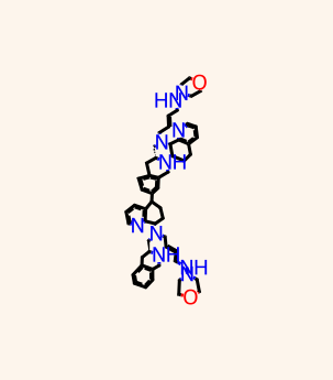 C(=C\CN(C[C@H]1Cc2ccc(C3CC[C@H](N(C/C=C/CNN4CCOCC4)C[C@@H]4Cc5ccccc5CN4)c4ncccc43)cc2CN1)[C@H]1CCCc2cccnc21)/CNN1CCOCC1